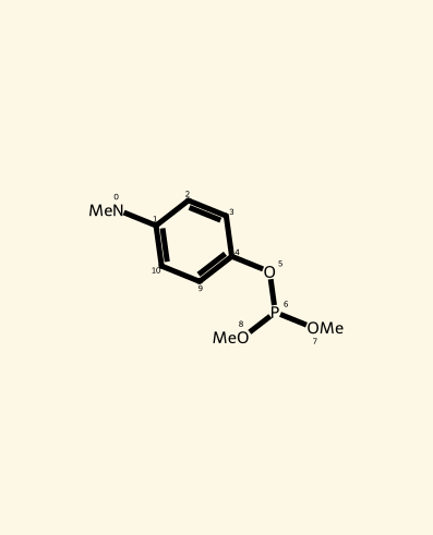 CNc1ccc(OP(OC)OC)cc1